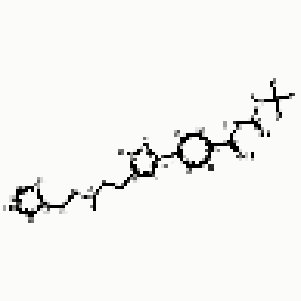 CC(C)(C)OC(=O)NC(=N)c1ccc(-n2cc(CCNCCc3c[nH]cn3)nn2)cc1